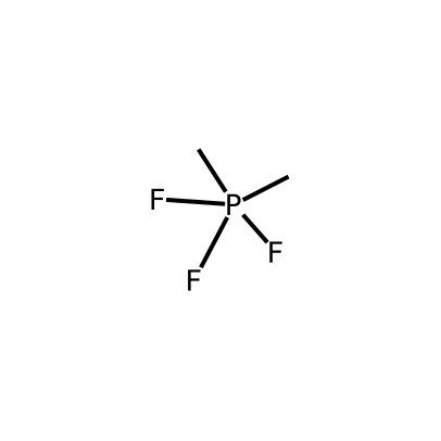 CP(C)(F)(F)F